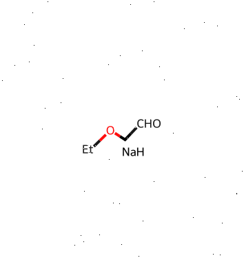 CCOCC=O.[NaH]